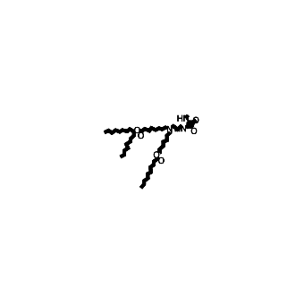 CCCCCCCCCC(=O)OCCCCCCCN(CCCCCCCC(=O)OC(CCCCCCCC)CCCCCCCC)CCCNc1c(NC)c(=O)c1=O